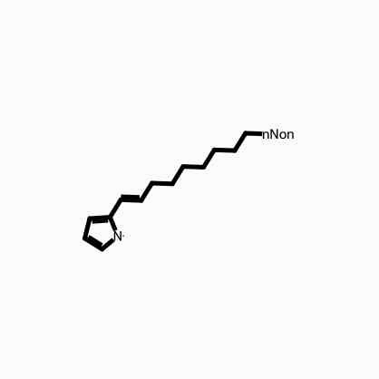 CCCCCCCCCCCCCCCCC=CC1=CC=C[N]1